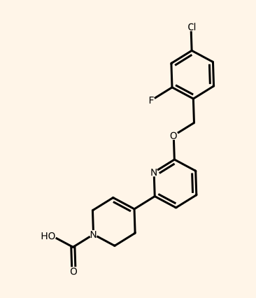 O=C(O)N1CC=C(c2cccc(OCc3ccc(Cl)cc3F)n2)CC1